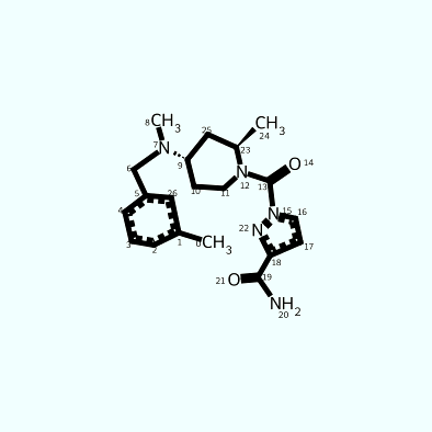 Cc1cccc(CN(C)[C@H]2CCN(C(=O)n3ccc(C(N)=O)n3)[C@H](C)C2)c1